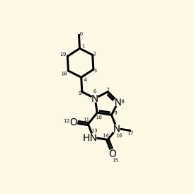 CC1CCC(Cn2cnc3c2c(=O)[nH]c(=O)n3C)CC1